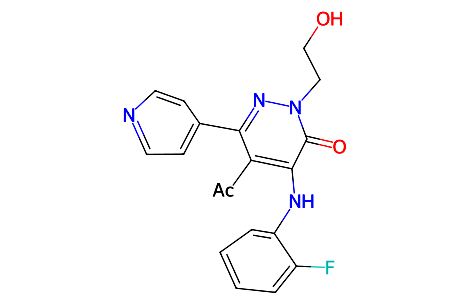 CC(=O)c1c(-c2ccncc2)nn(CCO)c(=O)c1Nc1ccccc1F